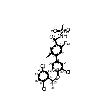 Cc1cc(C(=O)NS(C)(=O)=O)c(F)cc1-c1cnc(O[C@@H](C)c2cc(Cl)ccc2Cl)c(Cl)c1